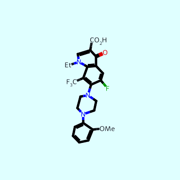 CCn1cc(C(=O)O)c(=O)c2cc(F)c(N3CCN(c4ccccc4OC)CC3)c(C(F)(F)F)c21